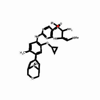 CN/C=C(/Nc1nc(Nc2cc(C)c(C3CC4COCC(C3)N4C)cc2OC2CC2)ncc1Cl)C(N)S(=O)(=O)C(C)C